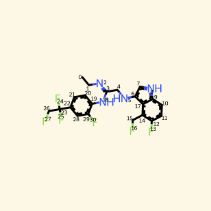 CC/N=C(/CNc1c[nH]c2ccc(F)c(CF)c12)Nc1ccc(C(F)(F)CF)cc1F